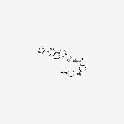 CC(=O)N1CCC(Nc2cccc(C(=O)NCC(O)CN3CCc4c(ccc(OCc5cnco5)c4C)C3)c2)CC1